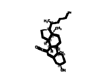 CC(C)CCC[C@@H](C)[C@H]1CC[C@H]2[C@@H]3C(=C=O)C=C4C[C@@H](O)CC[C@]4(C)[C@H]3CC[C@]12C